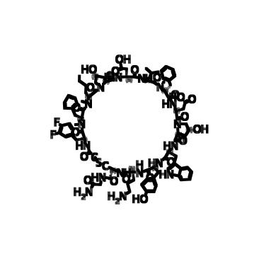 CCCC[C@H]1C(=O)N2C[C@H](O)C[C@@H]2C(=O)N[C@@H](CC(=O)O)C(=O)N[C@@H](C(C)C)C(=O)N(C)[C@H](Cc2ccccc2)C(=O)N[C@@H](CC(=O)O)C(=O)N2C[C@H](O)C[C@@H]2C(=O)N[C@@H](Cc2c[nH]c3ccccc23)C(=O)N[C@@H](Cc2ccc(O)cc2)C(=O)N[C@@H](CCCN)C(=O)N[C@H](C(=O)NCC(N)=O)CSCC(=O)N[C@@H](Cc2ccc(F)c(F)c2)C(=O)N(C)[C@@H](Cc2ccccc2)C(=O)N1C